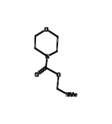 CNCOC(=O)N1CCOCC1